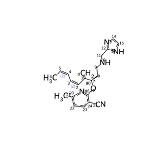 C=C(/C=C\C=C/C)[C@@H](CCNCc1ncc[nH]1)Oc1nc(C)ccc1C#N